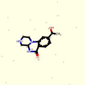 CC(O)c1ccc2c(c1)N1CCNCC1NC2=O